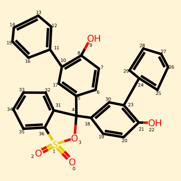 O=S1(=O)OC(c2ccc(O)c(-c3ccccc3)c2)(c2ccc(O)c(-c3ccccc3)c2)c2ccccc21